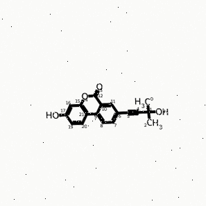 CC(C)(O)C#Cc1ccc2c(c1)c(=O)oc1cc(O)ccc12